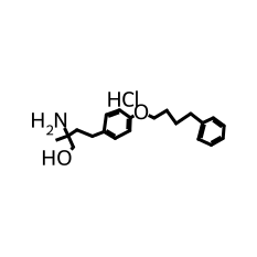 CC(N)(CO)CCc1ccc(OCCCCc2ccccc2)cc1.Cl